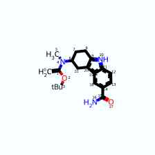 C=C(OC(C)(C)C)N(C)C1CCc2[nH]c3ccc(C(N)=O)cc3c2C1